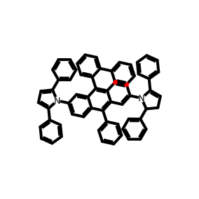 C1=C(c2ccccc2)N(c2ccc3c(-c4ccccc4-c4ccccc4)c4cc(-n5c(-c6ccccc6)ccc5-c5ccccc5)ccc4c(-c4ccccc4)c3c2)C(c2ccccc2)C1